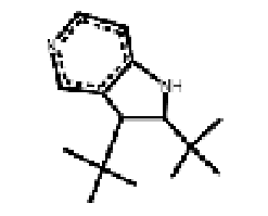 CC(C)(C)C1Nc2ccncc2C1C(C)(C)C